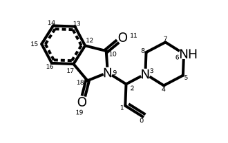 C=CC(N1CCNCC1)N1C(=O)c2ccccc2C1=O